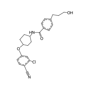 N#Cc1ccc(OC2CCC(NC(=O)c3ccc(CCCO)cc3)CC2)cc1Cl